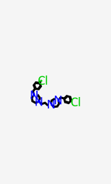 Clc1ccc(CN2CCCN(CCCN3CCCN(Cc4ccc(Cl)cc4)CC3)CC2)cc1